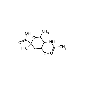 CC(=O)NC1C(O)CC(C)(C(=O)O)OC1C